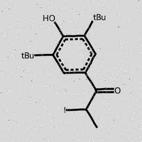 CC(I)C(=O)c1cc(C(C)(C)C)c(O)c(C(C)(C)C)c1